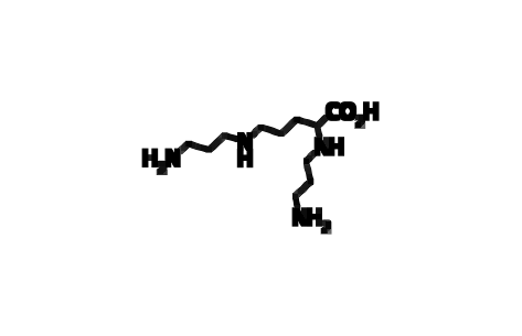 NCCCNCCCC(NCCCN)C(=O)O